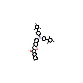 Cc1cc(C)c(-c2ccc(N(c3ccc(-c4c(C)cc(C)cc4C)cc3)c3ccc4cc(C=C5C(=O)c6cc7ccccc7cc6C5=O)ccc4c3)cc2)c(C)c1